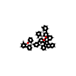 Cc1ccccc1N(c1ccc2c(c1)c1cc(N(c3ccccc3C)c3cccc4c3oc3c(C)cccc34)cc3c1n2-c1ccccc1C31c2ccc3ccccc3c2-c2c1ccc1ccccc21)c1cccc2c1oc1c(C)cccc12